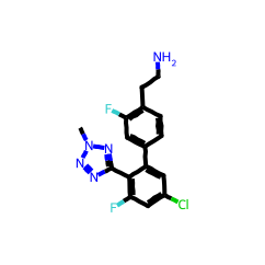 Cn1nnc(-c2c(F)cc(Cl)cc2-c2ccc(CCN)c(F)c2)n1